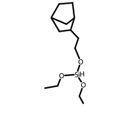 CCO[SiH](OCC)OCCC1CC2CCC1C2